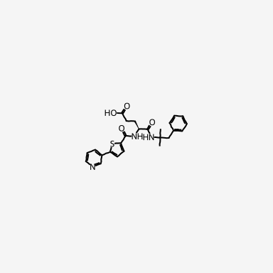 CC(C)(Cc1ccccc1)NC(=O)[C@H](CCC(=O)O)NC(=O)c1ccc(-c2cccnc2)s1